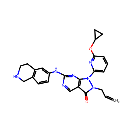 C=CCn1c(=O)c2cnc(Nc3ccc4c(c3)CCNC4)nc2n1-c1cccc(OC2CC2)n1